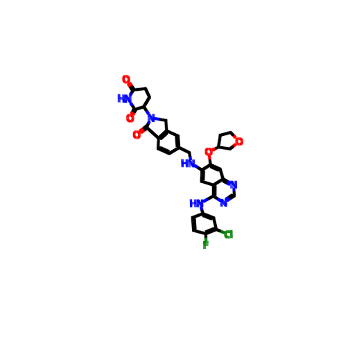 O=C1CCC(N2Cc3cc(CNc4cc5c(Nc6ccc(F)c(Cl)c6)ncnc5cc4O[C@H]4CCOC4)ccc3C2=O)C(=O)N1